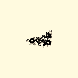 COc1cccc(OC)c1-n1c(NS(=O)(=O)C[C@H](O)c2ccc(F)cc2F)nnc1-c1ccn(C)n1